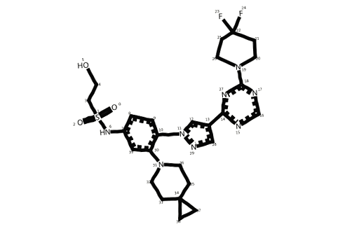 O=S(=O)(CCO)Nc1ccc(-n2cc(-c3ncnc(N4CCC(F)(F)CC4)n3)cn2)c(N2CCC3(CC2)CC3)c1